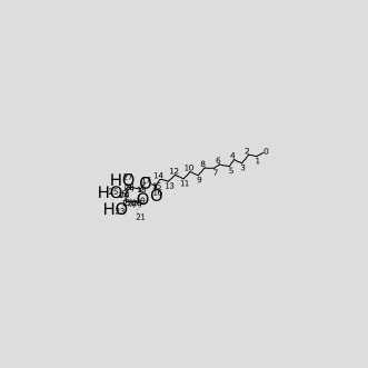 CCCCCCCCCCCCCCCC(=O)OC1O[C@H](C)[C@@H](O)[C@H](O)[C@H]1O